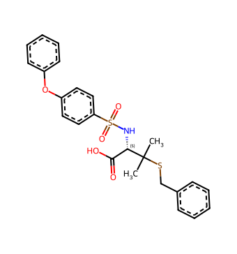 CC(C)(SCc1ccccc1)[C@@H](NS(=O)(=O)c1ccc(Oc2ccccc2)cc1)C(=O)O